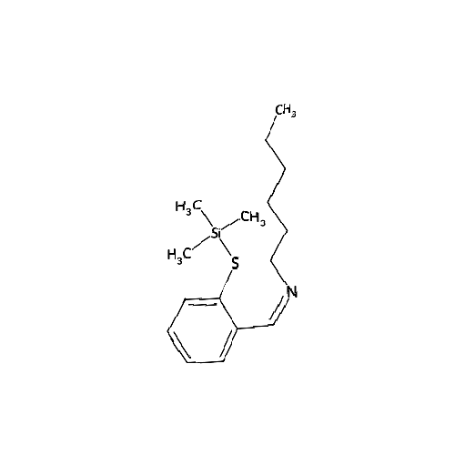 CCCCCC/N=C\c1ccccc1S[Si](C)(C)C